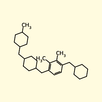 Cc1c(CC2CCCCC2)ccc(CC2CCC(CC3CCC(C)CC3)CC2)c1C